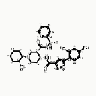 C[C@H](NC(=O)[C@@H]1CN([C@@H]2CCCC[C@H]2O)CC[C@H]1NC(=O)c1cc(-c2ccc(F)cc2F)on1)c1ccccn1